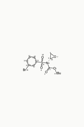 CC(C)(C)OC(=O)N([C@@H]1CO1)S(=O)(=O)c1cccc(Br)c1